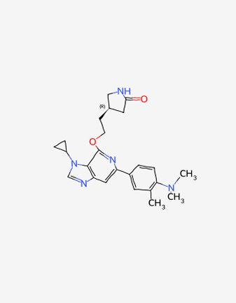 Cc1cc(-c2cc3ncn(C4CC4)c3c(OCC[C@H]3CNC(=O)C3)n2)ccc1N(C)C